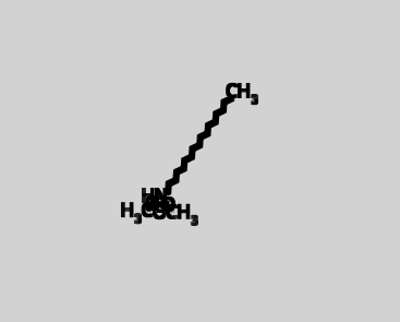 CCCCCCCCCCCCCCCCCCNP(=O)(OC)OC